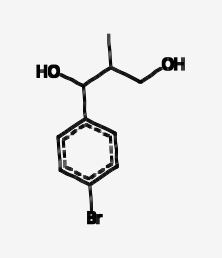 CC(CO)C(O)c1ccc(Br)cc1